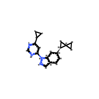 c1nc(C2CC2)cc(-n2ncc3ccc([C@@H]4CC45CC5)cc32)n1